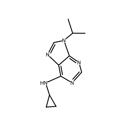 CC(C)n1cnc2c(NC3CC3)ncnc21